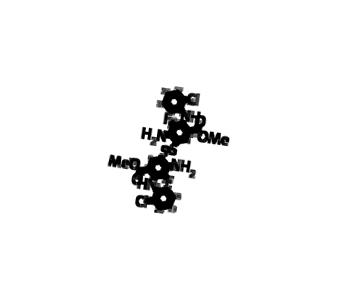 COC(=O)c1cc(SSc2cc(C(=O)OC)c(Nc3ccccc3Cl)c(F)c2N)c(N)c(F)c1Nc1ccccc1Cl